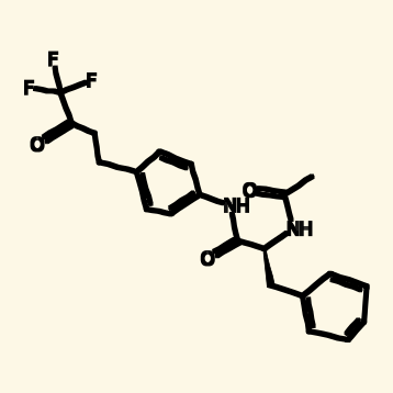 CC(=O)N[C@@H](Cc1ccccc1)C(=O)Nc1ccc(CCC(=O)C(F)(F)F)cc1